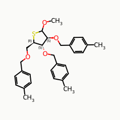 COC1S[C@H](COCc2ccc(C)cc2)[C@@H](OCc2ccc(C)cc2)[C@@H]1OCc1ccc(C)cc1